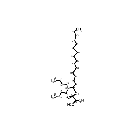 C=C(C)C(=O)OC(CCCCCCCCCCCCCCC)N(CCCC)CCCC